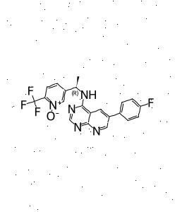 C[C@@H](Nc1ncnc2ncc(-c3ccc(F)cc3)cc12)c1ccc(C(F)(F)F)[n+]([O-])c1